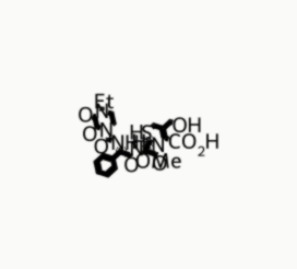 CCN1CCN(C(=O)N[C@@H](C(=O)N[C@]2(OC)C(=O)N3C(C(=O)O)=C(CO)CS[C@@H]32)c2ccccc2)C(=O)C1=O